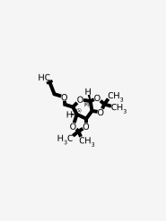 C#CCOCC1O[C@@H]2OC(C)(C)OC2C2OC(C)(C)O[C@@H]12